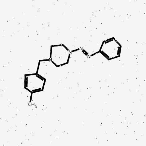 Cc1ccc(CN2CCN(N=Nc3ccccc3)CC2)cc1